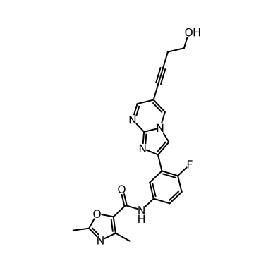 Cc1nc(C)c(C(=O)Nc2ccc(F)c(-c3cn4cc(C#CCCO)cnc4n3)c2)o1